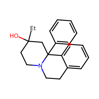 CCC1(O)CCN2CCc3ccccc3C2(c2ccccc2)C1